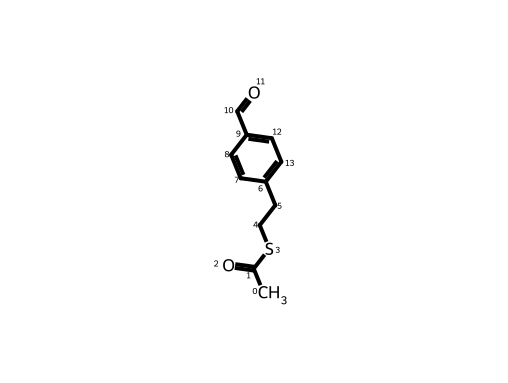 CC(=O)SCCc1ccc(C=O)cc1